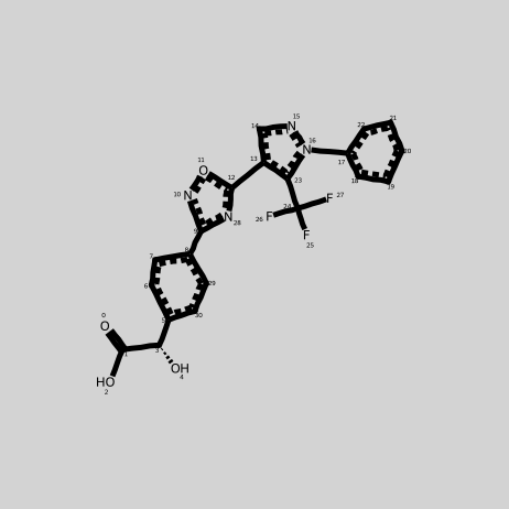 O=C(O)[C@@H](O)c1ccc(-c2noc(-c3cnn(-c4ccccc4)c3C(F)(F)F)n2)cc1